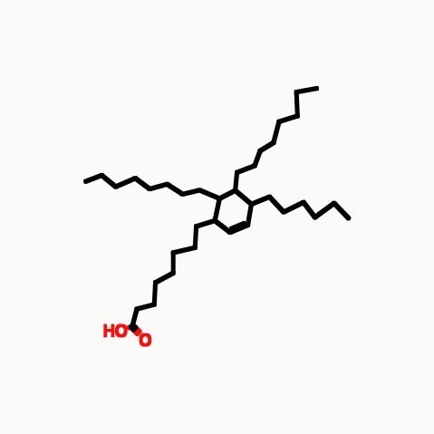 CCCCCCCCC1C(CCCCCC)C=CC(CCCCCCCC(=O)O)C1CCCCCCCC